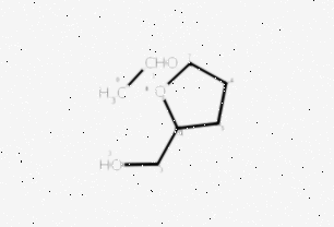 CC=O.OCC1CCCO1